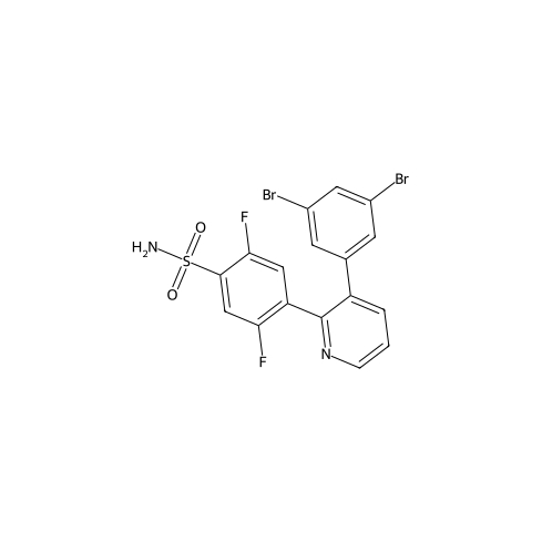 NS(=O)(=O)c1cc(F)c(-c2ncccc2-c2cc(Br)cc(Br)c2)cc1F